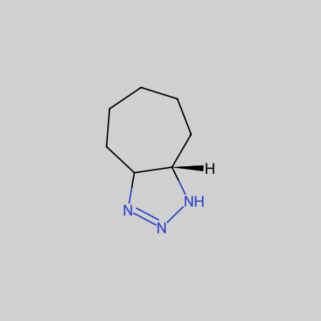 C1CCC2N=NN[C@H]2CC1